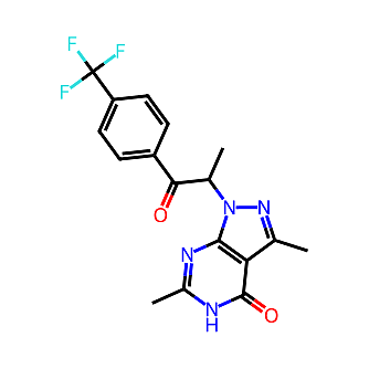 Cc1nc2c(c(C)nn2C(C)C(=O)c2ccc(C(F)(F)F)cc2)c(=O)[nH]1